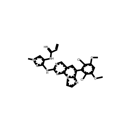 C=CC(=N)Nc1cn(C)nc1Nc1ncc2cc(-c3c(Cl)c(OC)cc(OC)c3Cl)c3nccn3c2n1